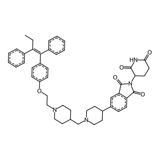 CCC(=C(c1ccccc1)c1ccc(OCCN2CCC(CN3CCC(c4ccc5c(c4)C(=O)N(C4CCC(=O)NC4=O)C5=O)CC3)CC2)cc1)c1ccccc1